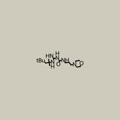 CC(C)(C)CC(C)(C)NC(=N)NC(=O)NCCCN1CCOCC1